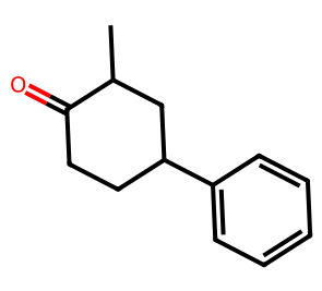 CC1CC(c2ccccc2)CCC1=O